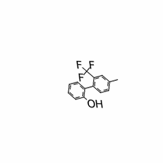 Cc1ccc(-c2ccccc2O)c(C(F)(F)F)c1